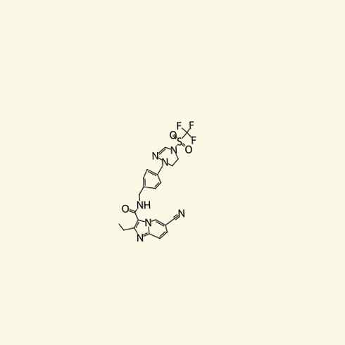 CCc1nc2ccc(C#N)cn2c1C(=O)NCc1ccc(N2CCN(S(=O)(=O)C(F)(F)F)C=N2)cc1